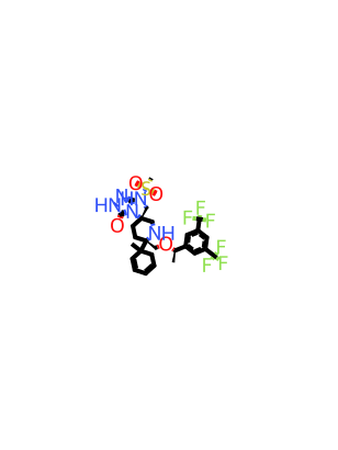 C[C@@H](OC[C@@]1(C2(C)C=CC=CC2)CC[C@](CNS(C)(=O)=O)(n2cn[nH]c2=O)CN1)c1cc(C(F)(F)F)cc(C(F)(F)F)c1